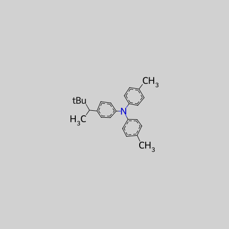 Cc1ccc(N(c2ccc(C)cc2)c2ccc(C(C)C(C)(C)C)cc2)cc1